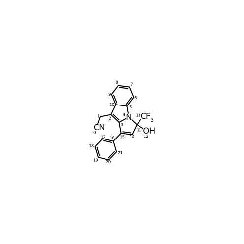 N#CCc1c2n(c3ccccc13)C(O)(C(F)(F)F)C=C2c1ccccc1